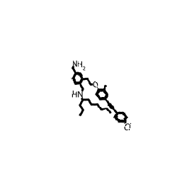 CCCCCCC(CCC)NCc1ccc(CN)cc1CCOc1ccc(C#Cc2ccc(Cl)cc2)cc1C